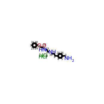 Cl.Cl.NCc1ccc(CCCNCCNC(=O)COc2ccccc2)cc1